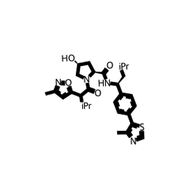 Cc1cc(C(C(=O)N2C[C@H](O)C[C@H]2C(=O)N[C@@H](CC(C)C)c2ccc(-c3scnc3C)cc2)C(C)C)on1